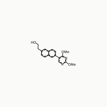 COc1ncc(-c2ccc3cc(CCO)ccc3c2)c(OC)n1